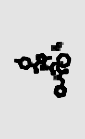 Cc1csc(C(=O)N2CCN(C)CC2)c1NC(=O)C[N+]1(CC(=O)NCc2ccccc2)CCCCCC1.Cl.[Cl-]